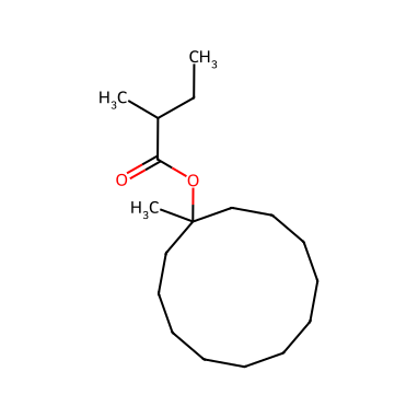 CCC(C)C(=O)OC1(C)CCCCCCCCCCC1